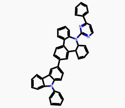 C1=CC2c3cc(-c4ccc5c(c4)c4ccccc4n5-c4ccccc4)ccc3-c3ccccc3N(c3nccc(-c4ccccc4)n3)C2C=C1